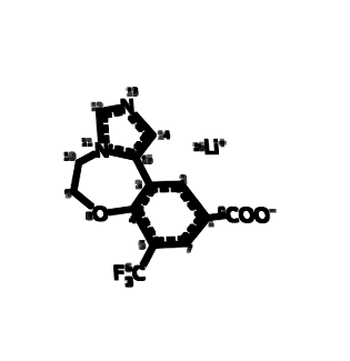 O=C([O-])c1cc2c(c(C(F)(F)F)c1)OCCn1cncc1-2.[Li+]